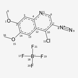 COc1cc2ncc([N+]#N)c(Cl)c2cc1OC.F[B-](F)(F)F